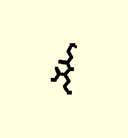 NCCC(=O)NC(CCS)C(=O)O